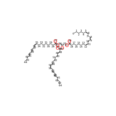 CCCCC/C=C\C/C=C\C/C=C\CCCCCCC(=O)OC[C@@H](COC(=O)CCCCCCC/C=C\CCCCCCCC)OC(=O)CCCCCCC/C=C\CCCCCCCC